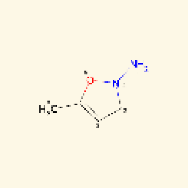 CC1=CCN(N)O1